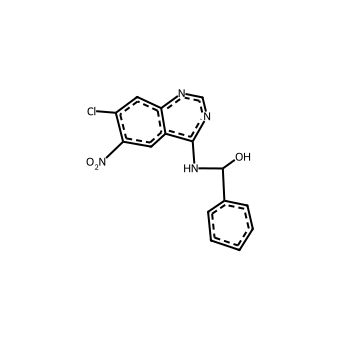 O=[N+]([O-])c1cc2c(NC(O)c3ccccc3)ncnc2cc1Cl